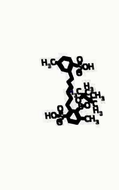 Cc1ccc(S(=O)(=O)O)c(CC/C=C/CCc2c(S(=O)(=O)O)ccc(C)c2B2OC(C)(C)C(C)(C)O2)c1